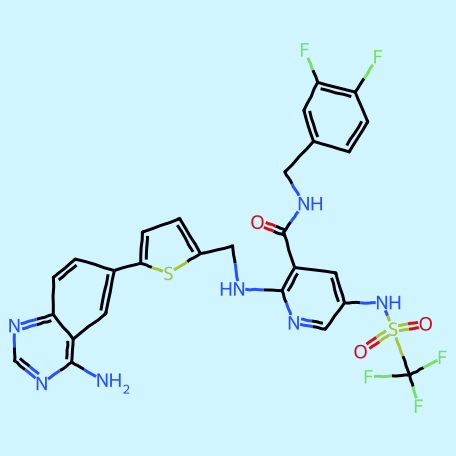 Nc1ncnc2ccc(-c3ccc(CNc4ncc(NS(=O)(=O)C(F)(F)F)cc4C(=O)NCc4ccc(F)c(F)c4)s3)cc12